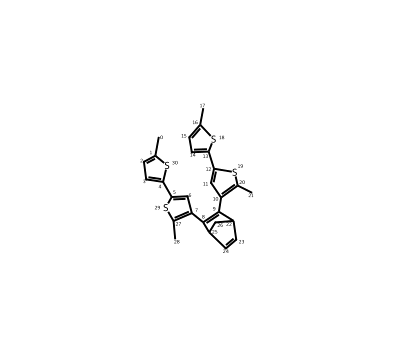 Cc1ccc(-c2cc(C3=C(c4cc(-c5ccc(C)s5)sc4C)C4C=CC3C4)c(C)s2)s1